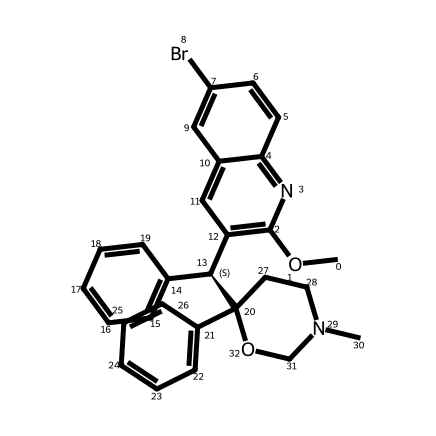 COc1nc2ccc(Br)cc2cc1[C@H](c1ccccc1)C1(c2ccccc2)CCN(C)CO1